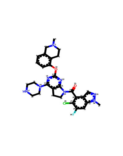 CN1CCc2c(cccc2Oc2nc(N3CCNCC3)c3c(n2)N(C(=O)c2c(Cl)c(F)cc4c2cnn4C)CC3)C1